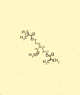 C=C(C)C(=O)OCCCC(CCCOC(=O)C(=C)C)CO[SiH3]